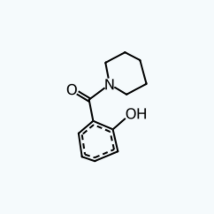 O=C(c1ccccc1O)N1CCCCC1